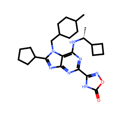 CC1CCC(Cn2c(C3CCCC3)nc3nc(-c4noc(=O)[nH]4)nc(N[C@H](C)C4CCC4)c32)CC1